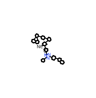 N#Cc1ccc(-c2ccccc2-c2ccc(-c3cccc4c3-c3cccc5cccc-4c35)cc2)cc1-c1ccc(-c2nc(-c3ccccc3)nc(-c3ccc(-c4ccc5ccccc5c4)cc3)n2)cc1